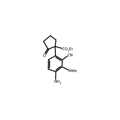 CCOC(=O)C1(c2ccc(N)c(NC)c2C#N)CCCC1=O